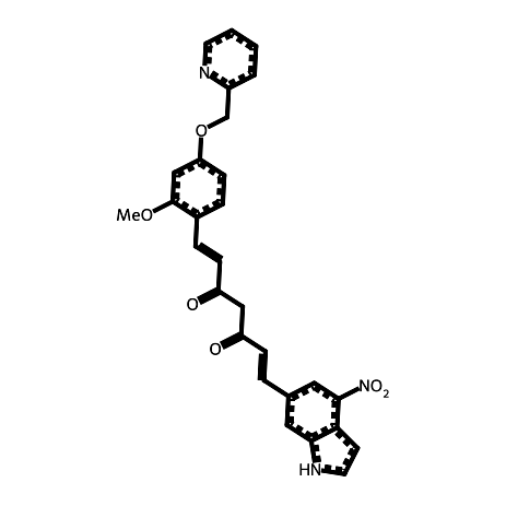 COc1cc(OCc2ccccn2)ccc1/C=C/C(=O)CC(=O)/C=C/c1cc([N+](=O)[O-])c2cc[nH]c2c1